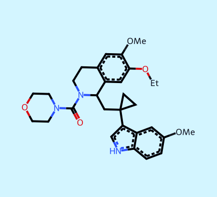 CCOc1cc2c(cc1OC)CCN(C(=O)N1CCOCC1)C2CC1(c2c[nH]c3ccc(OC)cc23)CC1